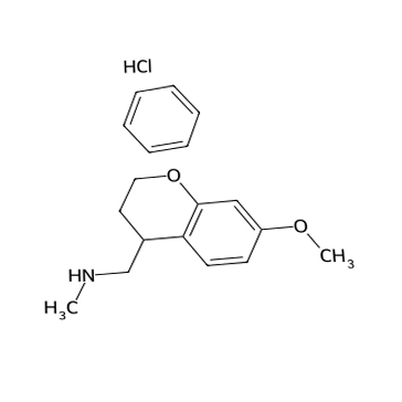 CNCC1CCOc2cc(OC)ccc21.Cl.c1ccccc1